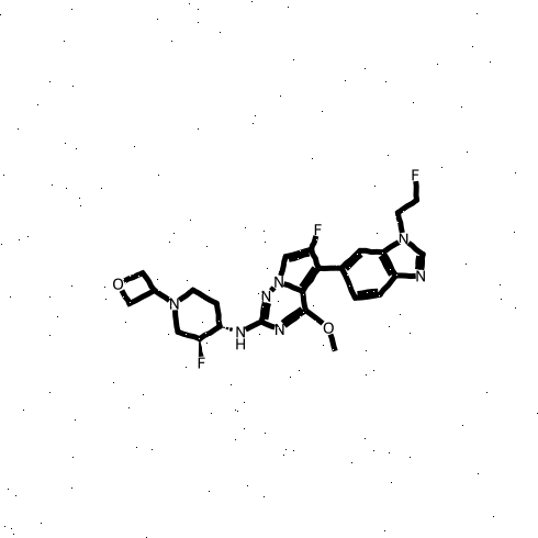 COc1nc(N[C@H]2CCN(C3COC3)C[C@@H]2F)nn2cc(F)c(-c3ccc4ncn(CCF)c4c3)c12